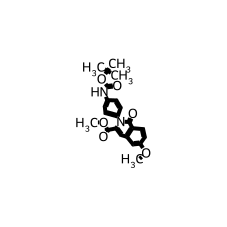 COC(=O)c1cc2cc(OC)ccc2c(=O)n1-c1ccc(NC(=O)OC(C)(C)C)cc1